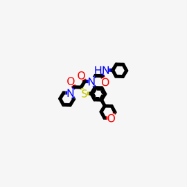 O=C(CN1C(=O)C(C(=O)N2CCCCC2)Sc2cc(C3CCOCC3)ccc21)NC1CCCCC1